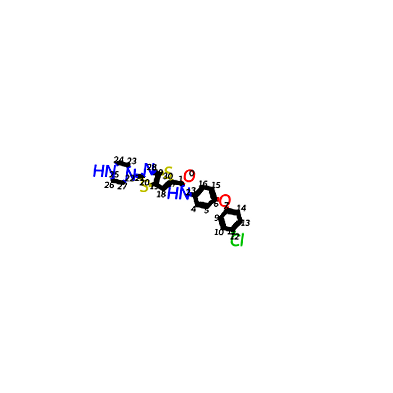 O=C(Nc1ccc(Oc2ccc(Cl)cc2)cc1)c1cc2sc(N3CCNCC3)nc2s1